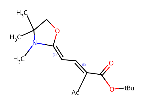 CC(=O)/C(=C\C=C1/OCC(C)(C)N1C)C(=O)OC(C)(C)C